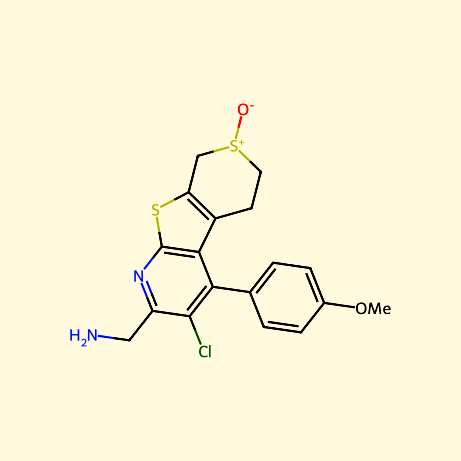 COc1ccc(-c2c(Cl)c(CN)nc3sc4c(c23)CC[S+]([O-])C4)cc1